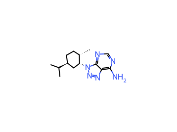 CC(C)[C@H]1CC[C@H](C)[C@H](n2nnc3c(N)ncnc32)C1